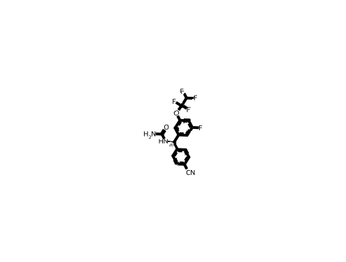 N#Cc1ccc([C@@H](NC(N)=O)c2cc(F)cc(OC(F)(F)C(F)F)c2)cc1